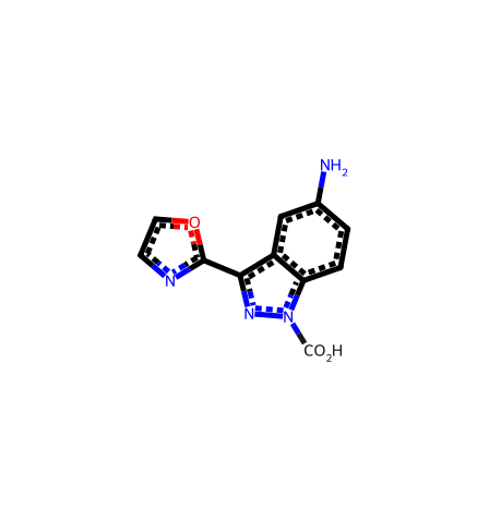 Nc1ccc2c(c1)c(-c1ncco1)nn2C(=O)O